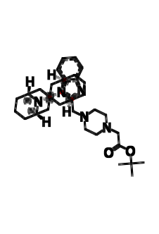 CC(C)(C)OC(=O)CN1CCN(Cc2nc3ccccc3n2[C@H]2C[C@H]3CCC[C@@H](C2)N3[C@H]2C[C@@H]3CCC[C@@H](C3)C2)CC1